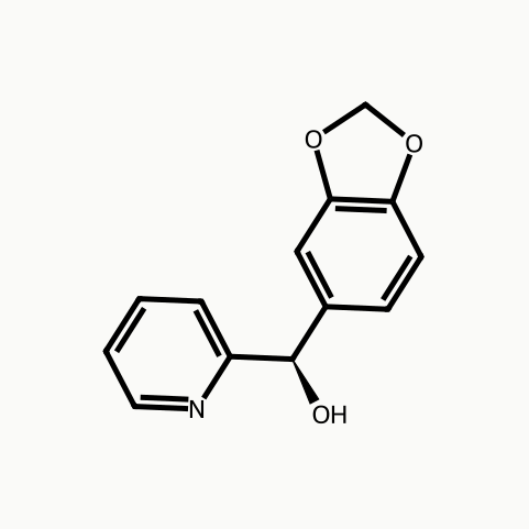 O[C@H](c1ccc2c(c1)OCO2)c1ccccn1